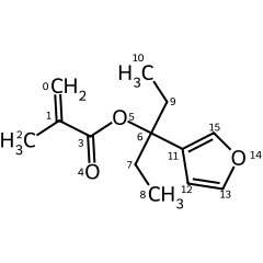 C=C(C)C(=O)OC(CC)(CC)c1ccoc1